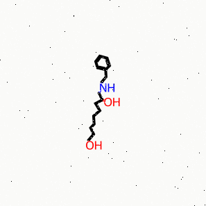 OCCCCCCCC(O)CNCCc1ccccc1